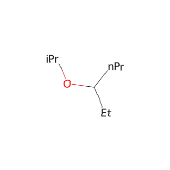 [CH2]CC(CCC)OC(C)C